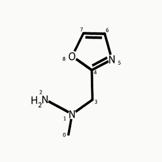 CN(N)Cc1ncco1